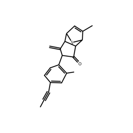 C=C1C(c2ccc(C#CC)cc2C)C(=O)C2C3SC(C=C3C)C12